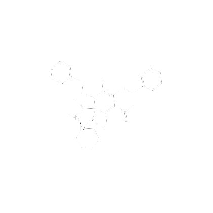 C=C(C)C1=C(C)C(C(N)=O)(C(=O)N(C)N2CCOCC2)C(OCc2ccccc2)C(C)=C1OCc1ccccc1